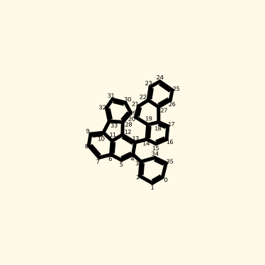 c1ccc(-c2cc3cccc4c3c(c2-c2cccc3c2ccc2ccccc23)-c2ccccc2-4)cc1